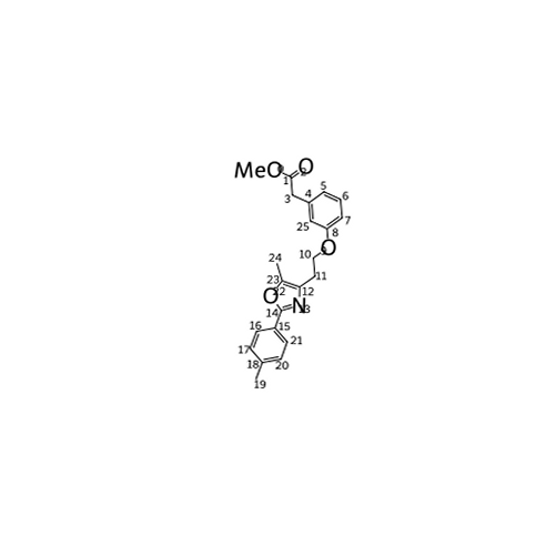 COC(=O)Cc1cccc(OCCc2nc(-c3ccc(C)cc3)oc2C)c1